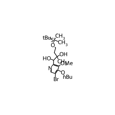 CCCCOc1c(Br)cnc(C(O)C(C)(O)CCO[Si](C)(C)C(C)(C)C)c1OC